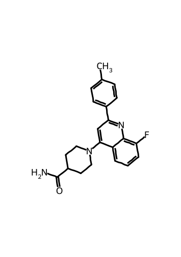 Cc1ccc(-c2cc(N3CCC(C(N)=O)CC3)c3cccc(F)c3n2)cc1